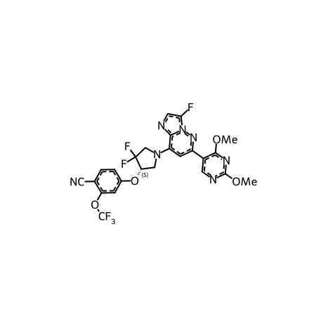 COc1ncc(-c2cc(N3C[C@H](Oc4ccc(C#N)c(OC(F)(F)F)c4)C(F)(F)C3)c3ncc(F)n3n2)c(OC)n1